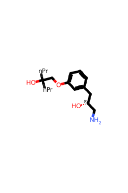 CCCC(O)(CCC)COc1cccc(C[C@@H](O)CN)c1